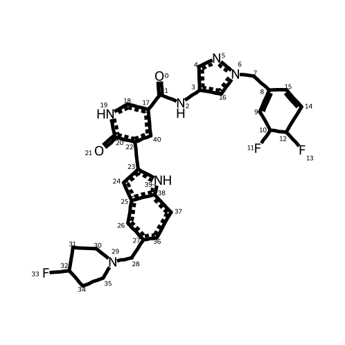 O=C(Nc1cnn(CC2=CC(F)C(F)C=C2)c1)c1c[nH]c(=O)c(-c2cc3cc(CN4CCC(F)CC4)ccc3[nH]2)c1